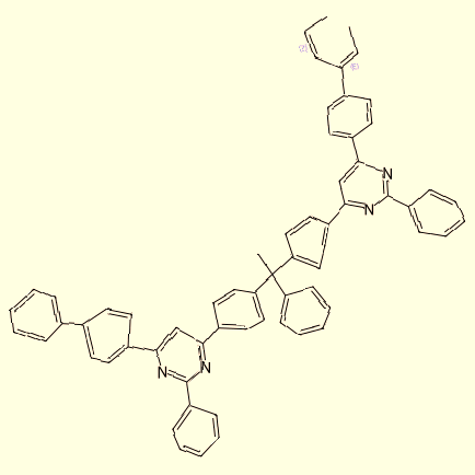 C/C=C\C(=C/C)c1ccc(-c2cc(-c3ccc(C(C)(c4ccccc4)c4ccc(-c5cc(-c6ccc(-c7ccccc7)cc6)nc(-c6ccccc6)n5)cc4)cc3)nc(-c3ccccc3)n2)cc1